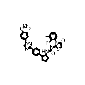 Cc1cccc(N2C(=O)CS/C2=N\C(=O)NC2CCCC2c2ccc(-c3ncn(-c4ccc(OC(F)(F)F)cc4)n3)cc2)c1C(C)C